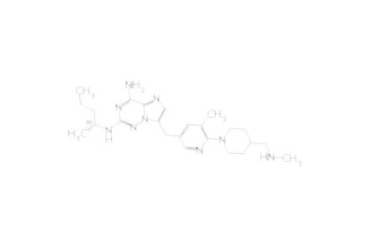 CCC[C@H](C)Nc1nc(N)c2ncc(Cc3cnc(N4CCC(CNC)CC4)c(C)c3)n2n1